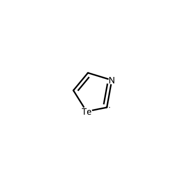 [c]1ncc[te]1